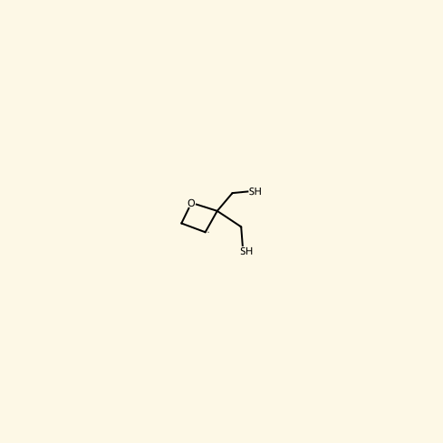 SCC1(CS)[CH]CO1